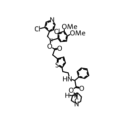 COc1ccc([C@H](Cc2c(Cl)cncc2Cl)OC(=O)Cc2ccc(CCNC(C(=O)O[C@H]3CN4CCC3CC4)c3ccccc3)s2)cc1OC